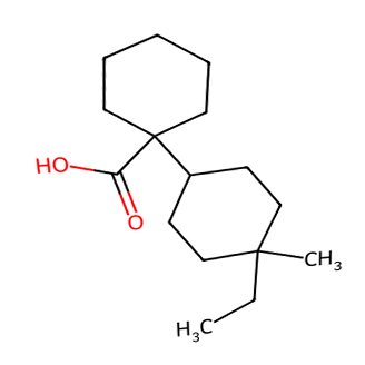 CCC1(C)CCC(C2(C(=O)O)CCCCC2)CC1